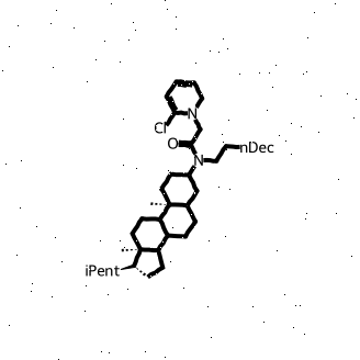 CCCCCCCCCCCCN(C(=O)CN1CC=CC=C1Cl)C1CC[C@@]2(C)C(CCC3C2CC[C@@]2(C)C3CC[C@@H]2[C@H](C)CCC)C1